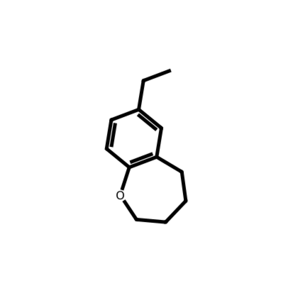 CCc1ccc2c(c1)CCCCO2